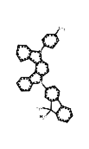 Cc1ccc(-n2c3ccccc3c3c4c5ccccc5n(-c5ccc6c(c5)C(C)(C)c5ccccc5-6)c4ccc32)cc1